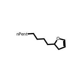 CCCCCCCCCC1CC=CO1